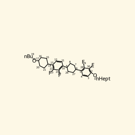 CCCCCCCOc1ccc(C2CCC(c3ccc(C4CCC(OCCCC)CC4)c(F)c3F)CC2)c(F)c1F